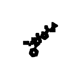 O=C(NC1CC1)c1ccc(S(=O)(=O)NC2(C(=O)O)C[C@H]2c2ccccc2)s1